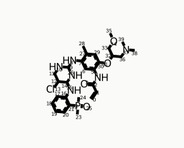 C=CC(=O)Nc1cc(NC2NCC(Cl)C(Nc3ccccc3P(C)(C)=O)N2)c(C)cc1OC(COC)CN(C)C